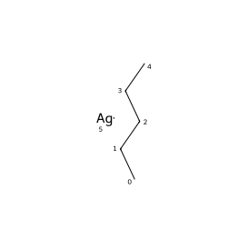 CCCCC.[Ag]